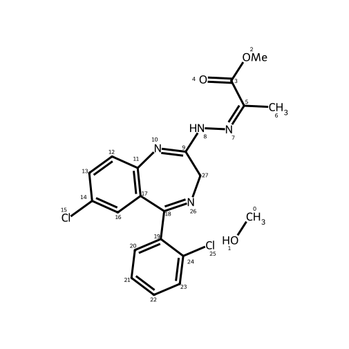 CO.COC(=O)/C(C)=N\NC1=Nc2ccc(Cl)cc2C(c2ccccc2Cl)=NC1